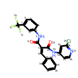 O=C(Nc1cccc(C(F)(F)F)c1)C(=Cc1ccccc1)C(=O)Nc1ccnc(Cl)c1